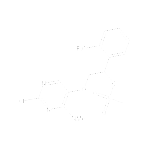 CNc1nc(Cl)ncc1OCC(OS(C)(=O)=O)c1ccccc1C(F)(F)F